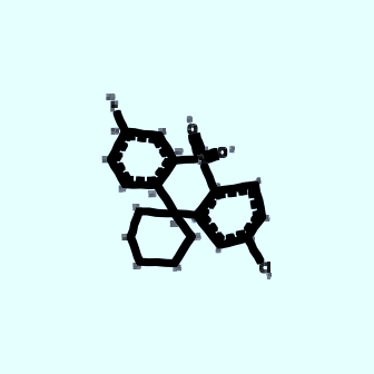 O=S1(=O)c2ccc(Cl)cc2C2(CCCCC2)c2ccc(F)cc21